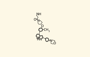 Cc1cc(-c2ccnc3[nH]c(-c4ccc(N5CCOCC5)cc4)cc23)ccc1OC1CCN(C(=O)CC=N)CC1